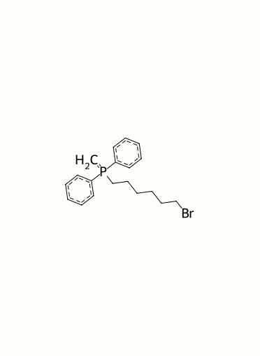 C=P(CCCCCCBr)(c1ccccc1)c1ccccc1